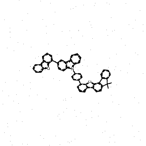 CC1(C)c2ccccc2-c2c1ccc1c2oc2c(-c3ccc(-n4c5ccccc5c5cc(-c6cccc7c6oc6ccccc67)ccc54)cc3)cccc21